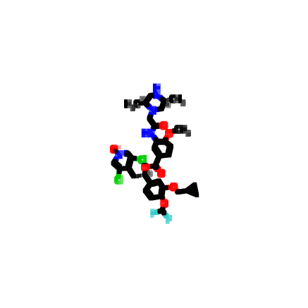 COc1ccc(C(=O)O[C@@H](Cc2c(Cl)c[n+]([O-])cc2Cl)c2ccc(OC(F)F)c(OCC3CC3)c2)cc1NC(=O)CN1C[C@@H](C)NC[C@@H]1C